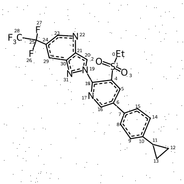 CCS(=O)(=O)c1cc(-c2ccc(C3CC3)cc2)cnc1-n1cc2ncc(C(F)(F)C(F)(F)F)cc2n1